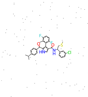 CSCC(NC(=O)c1c[nH]c(C(=O)c2ccc(C(C)C)cc2)c1-c1c(F)ccc(F)c1C)c1cccc(Cl)c1